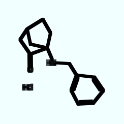 Cl.O=C1CC2CCC1(NCc1ccccc1)C2